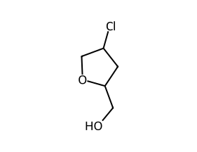 OCC1CC(Cl)CO1